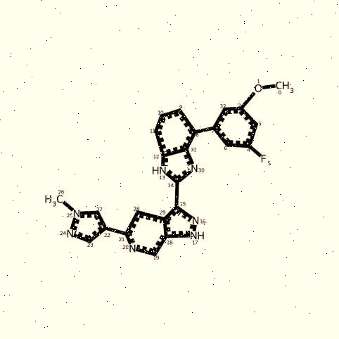 COc1cc(F)cc(-c2cccc3[nH]c(-c4n[nH]c5cnc(-c6cnn(C)c6)cc45)nc23)c1